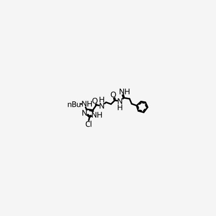 CCCCNc1nc(Cl)[nH]c1C(=O)NCCC(=O)NC(=N)CCc1ccccc1